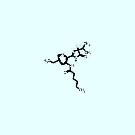 CCCCCC(=O)Nc1cc(CC)cnc1C1=NC(C)(C(C)C)C(=O)N1